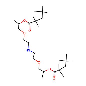 CC(COCCNCCOCC(C)OC(=O)C(C)(C)CC(C)(C)C)OC(=O)C(C)(C)CC(C)(C)C